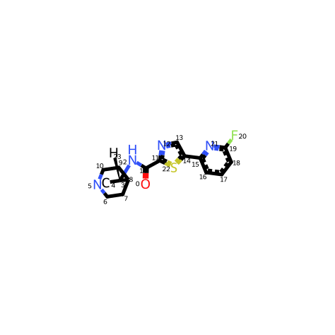 O=C(N[C@H]1CN2CCC1CC2)c1ncc(-c2cccc(F)n2)s1